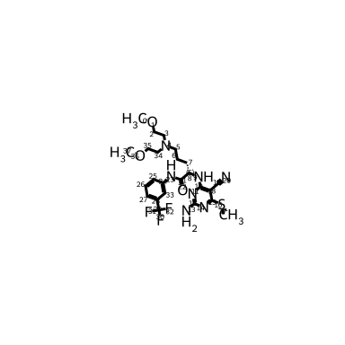 COCCN(CCC[C@H](Nc1nc(N)nc(SC)c1C#N)C(=O)Nc1cccc(C(F)(F)F)c1)CCOC